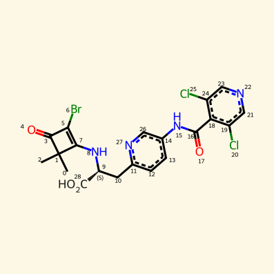 CC1(C)C(=O)C(Br)=C1N[C@@H](Cc1ccc(NC(=O)c2c(Cl)cncc2Cl)cn1)C(=O)O